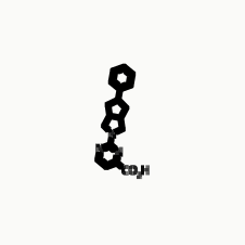 O=C(O)c1ccnc(N2CC3CC(c4ccccc4)CC3C2)n1